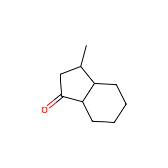 CC1CC(=O)C2CCCCC12